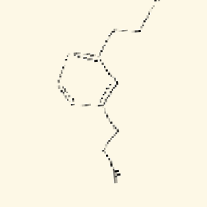 FCCc1cccc(CCF)c1